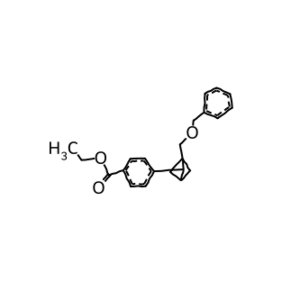 CCOC(=O)c1ccc(C2C3CC2(COCc2ccccc2)C3)cc1